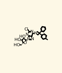 Cc1ccc(C2(c3ccccc3)CN(c3nc(Cl)nc4c3ncn4[C@@H]3O[C@H](CO)[C@H](O)C3O)C2)cc1